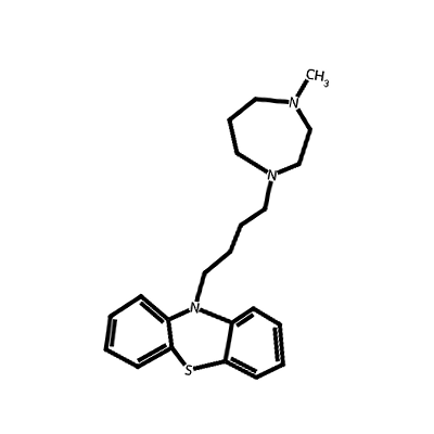 CN1CCCN(CCCCN2c3ccccc3Sc3ccccc32)CC1